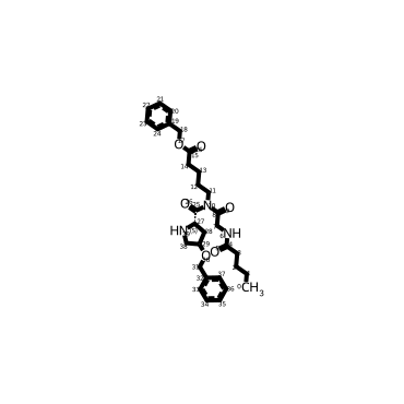 CCCCC(=O)NCC(=O)N(CCCCC(=O)OCc1ccccc1)C(=O)[C@@H]1CC(OCc2ccccc2)CN1